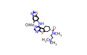 COc1cc2nnsc2cc1Nc1ncnc2sc3c(c12)CC[C@H](C(=O)N(C)CCN(C)C)C3